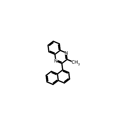 Cc1nc2ccccc2nc1-c1cccc2ccccc12